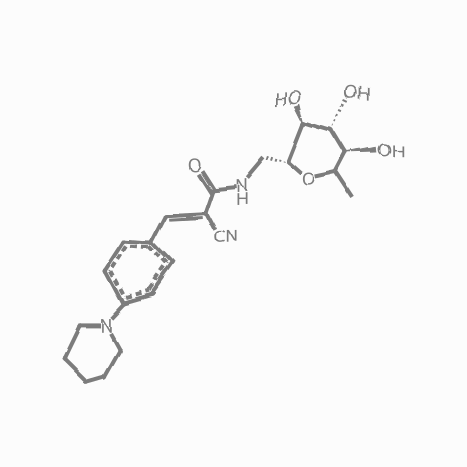 CC1O[C@H](CNC(=O)/C(C#N)=C/c2ccc(N3CCCCC3)cc2)[C@@H](O)[C@H](O)[C@H]1O